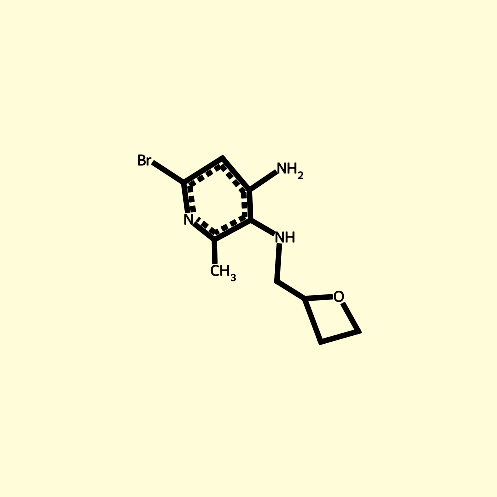 Cc1nc(Br)cc(N)c1NCC1CCO1